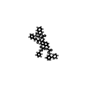 O=C(NCc1ccc2c(CNC(=O)OCc3ccccc3C3CCCCC3)c(OC(=O)OCc3ccccc3)ccc2c1OC(=O)OCc1ccccc1)OCc1ccccc1C1CCCCC1